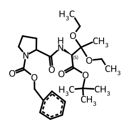 CCOC(C)(OCC)[C@H](NC(=O)C1CCCN1C(=O)OCc1ccccc1)C(=O)OC(C)(C)C